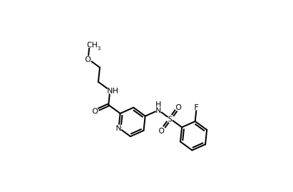 COCCNC(=O)c1cc(NS(=O)(=O)c2ccccc2F)ccn1